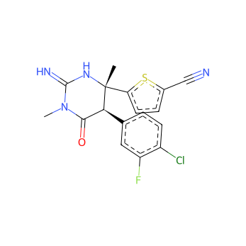 CN1C(=N)N[C@](C)(c2ccc(C#N)s2)[C@@H](c2ccc(Cl)c(F)c2)C1=O